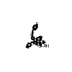 Cc1nc(CC2=CCC(C)(C)CC2)c(-c2ccc(OCCc3ccc(F)cc3)cc2)c(N2CCC(C)(C)CC2)c1C(OC(C)(C)C)C(=O)O